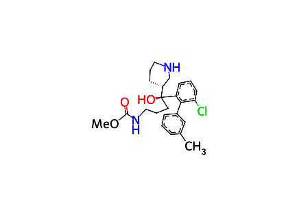 COC(=O)NCCC[C@@](O)(c1cccc(Cl)c1-c1cccc(C)c1)[C@@H]1CCCNC1